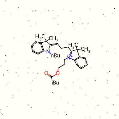 CCCCN1C(=CCCC2=[N+](CCCOC(=O)C(C)CC)c3ccccc3C2(C)C)C(C)(C)c2ccccc21